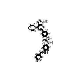 CCn1nnc2c(N3CCOCC3)nc(-c3ccc(NC(=O)Nc4ccc(NCc5cccnc5)cc4)cc3)nc21